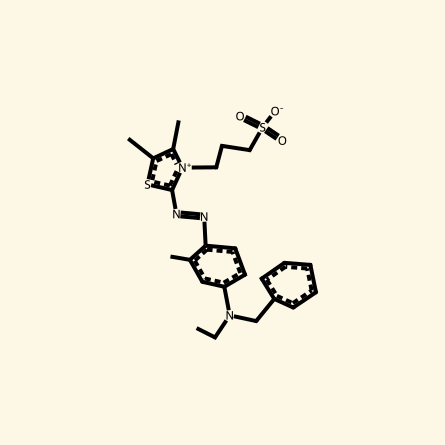 CCN(Cc1ccccc1)c1ccc(/N=N/c2sc(C)c(C)[n+]2CCCS(=O)(=O)[O-])c(C)c1